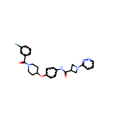 O=C(Nc1ccc(OC2CCN(C(=O)c3cccc(Cl)c3)CC2)cc1)C1CN(c2cccnn2)C1